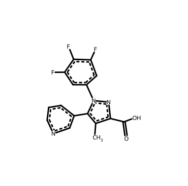 Cc1c(C(=O)O)nn(-c2cc(F)c(F)c(F)c2)c1-c1cccnc1